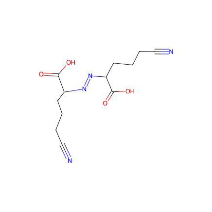 N#CCCCC(N=NC(CCCC#N)C(=O)O)C(=O)O